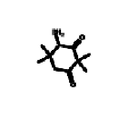 BC1C(=O)C(C)(C)C(=O)CC1(C)C